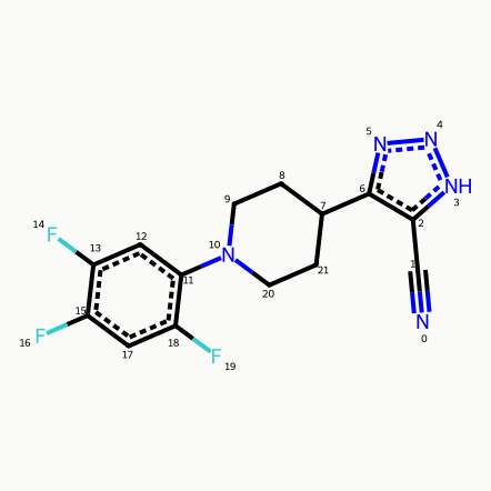 N#Cc1[nH]nnc1C1CCN(c2cc(F)c(F)cc2F)CC1